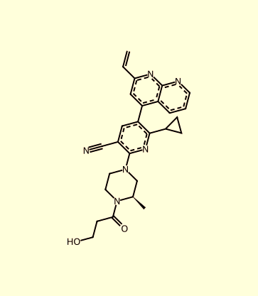 C=Cc1cc(-c2cc(C#N)c(N3CCN(C(=O)CCO)[C@H](C)C3)nc2C2CC2)c2cccnc2n1